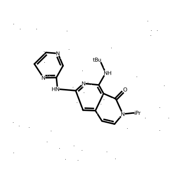 CC(C)n1ccc2cc(Nc3cnccn3)nc(NC(C)(C)C)c2c1=O